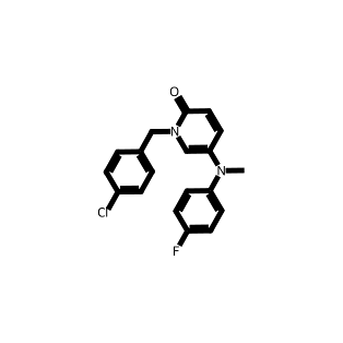 CN(c1ccc(F)cc1)c1ccc(=O)n(Cc2ccc(Cl)cc2)c1